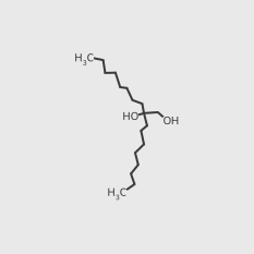 CCCCCCCCC(O)(CO)CCCCCCCC